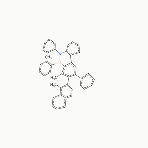 Cc1ccccc1B1c2c(cc(-c3ccccc3)c(-c3ccc4ccccc4c3C)c2C)-c2ccccc2N1c1ccccc1